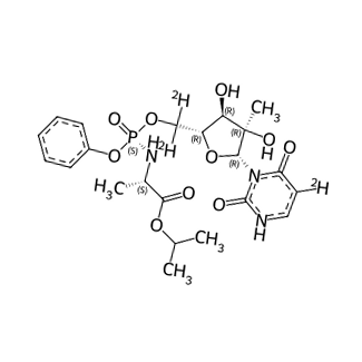 [2H]c1c[nH]c(=O)n([C@@H]2O[C@H](C([2H])([2H])O[P@@](=O)(N[C@@H](C)C(=O)OC(C)C)Oc3ccccc3)[C@@H](O)[C@@]2(C)O)c1=O